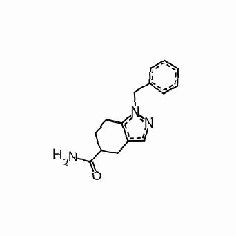 NC(=O)C1CCc2c(cnn2Cc2ccccc2)C1